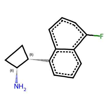 N[C@@H]1CC[C@@H]1c1cccc2c(F)cccc12